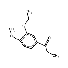 CCOc1cc(C(=O)CC)ccc1OC